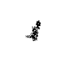 O=C(Nc1ccn([C@@H]2O[C@@]3(CO)CC4(O)OCO[C@H]2C43)c(=O)n1)c1ccccc1